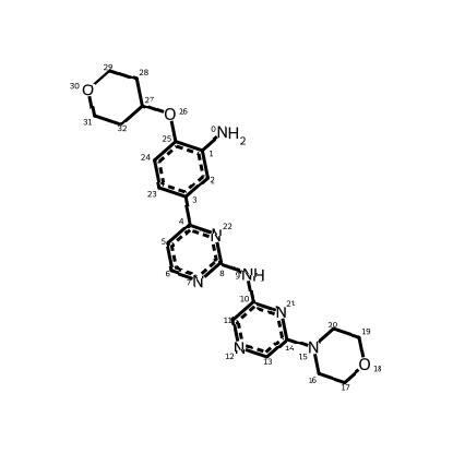 Nc1cc(-c2ccnc(Nc3cncc(N4CCOCC4)n3)n2)ccc1OC1CCOCC1